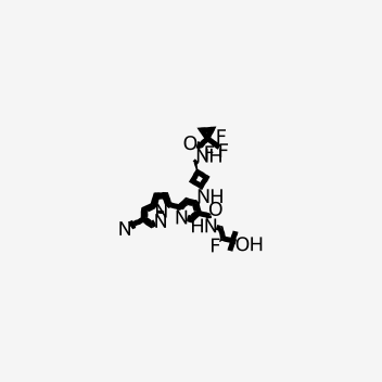 CC(C)(O)[C@H](F)CNC(=O)c1cnc(-c2ccc3cc(C#N)cnn23)cc1N[C@H]1C[C@H](CNC(=O)C2(C(F)(F)F)CC2)C1